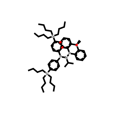 CCCC[Si](CCCC)(CCCC)c1ccc(P(c2ccc([Si](CCCC)(CCCC)CCCC)cc2)N(C(C)C)P(c2ccccc2SC)c2ccccc2SC)cc1